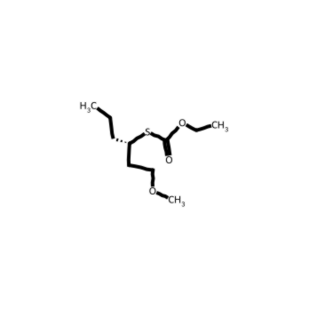 CCC[C@@H](CCOC)SC(=O)OCC